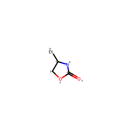 CCC1COC(=O)[N]1